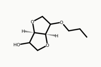 CCCOC1CO[C@@H]2C(O)CO[C@H]12